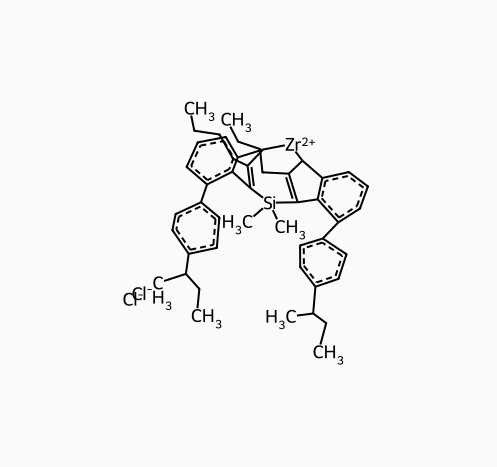 CCCCC1=C2c3c(-c4ccc(C(C)CC)cc4)cccc3[CH]1[Zr+2][CH]1C(CCCC)=C(c3c(-c4ccc(C(C)CC)cc4)cccc31)[Si]2(C)C.[Cl-].[Cl-]